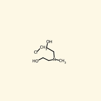 CCl.CN(CCO)CCO